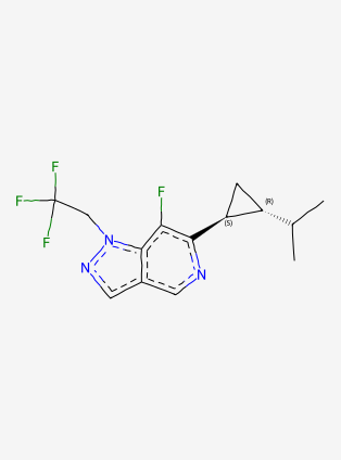 CC(C)[C@H]1C[C@@H]1c1ncc2cnn(CC(F)(F)F)c2c1F